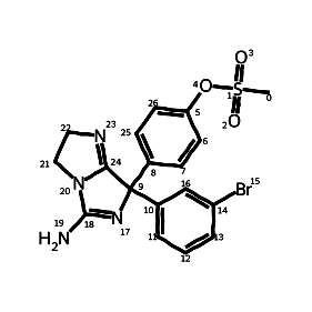 CS(=O)(=O)Oc1ccc(C2(c3cccc(Br)c3)N=C(N)N3CCN=C32)cc1